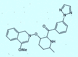 COC1=CN(OC2CCC(C)NC2C(=O)c2cccc(-n3nccn3)c2)Cc2ccccc21